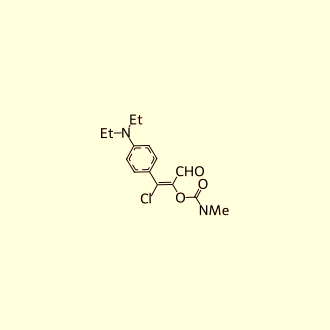 CCN(CC)c1ccc(/C(Cl)=C(\C=O)OC(=O)NC)cc1